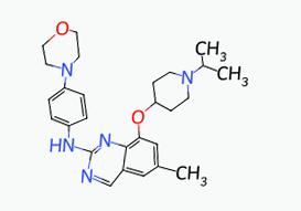 Cc1cc(OC2CCN(C(C)C)CC2)c2nc(Nc3ccc(N4CCOCC4)cc3)ncc2c1